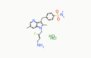 Cc1cnc2c(Cc3ccc(S(=O)(=O)N(C)C)cc3)c(C)n(C/C(F)=C/CN)c2c1.Cl.Cl